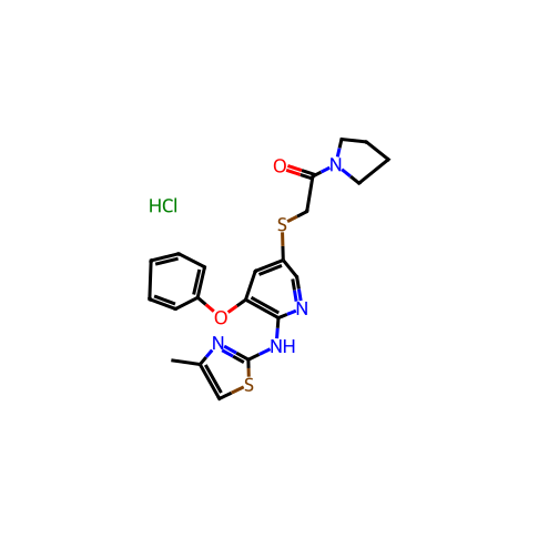 Cc1csc(Nc2ncc(SCC(=O)N3CCCC3)cc2Oc2ccccc2)n1.Cl